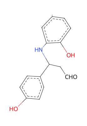 O=CCC(Nc1c[c]ccc1O)c1ccc(O)cc1